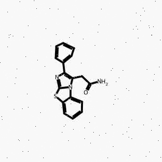 NC(=O)Cc1c(-c2ccccc2)nc2sc3ccccc3n12